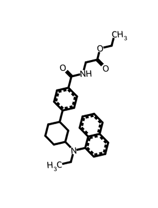 CCOC(=O)CNC(=O)c1ccc(C2CCCC(N(CC)c3cccc4ccccc34)C2)cc1